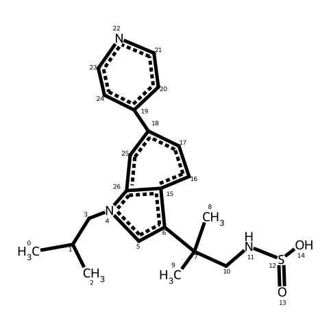 CC(C)Cn1cc(C(C)(C)CNS(=O)O)c2ccc(-c3ccncc3)cc21